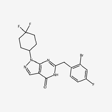 O=c1[nH]c(Cc2ccc(F)cc2Br)nc2c1cnn2C1CCC(F)(F)CC1